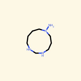 NN1CCCCNCNCCC1